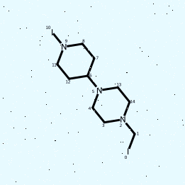 ICN1CCN(C2CCN(I)CC2)CC1